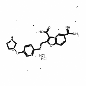 Cl.Cl.N=C(N)c1ccc2oc(CCc3ccc(O[C@H]4CCNC4)cc3)c(C(=O)O)c2c1